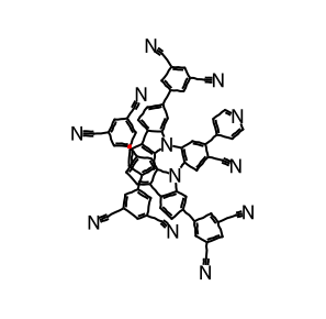 N#Cc1cc(C#N)cc(-c2ccc3c4ccc(-c5cc(C#N)cc(C#N)c5)cc4n(-c4cc(C#N)c(-c5ccncc5)cc4-n4c5cc(-c6cc(C#N)cc(C#N)c6)ccc5c5ccc(-c6cc(C#N)cc(C#N)c6)cc54)c3c2)c1